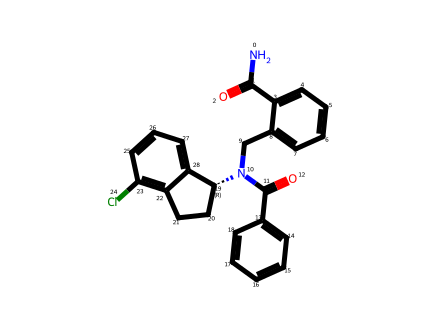 NC(=O)c1ccccc1CN(C(=O)c1ccccc1)[C@@H]1CCc2c(Cl)cccc21